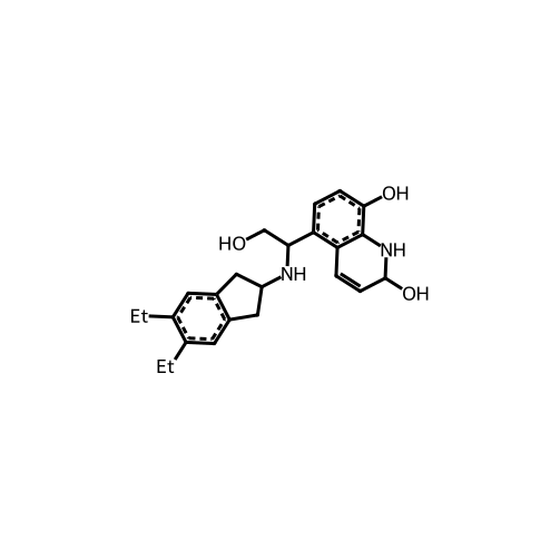 CCc1cc2c(cc1CC)CC(NC(CO)c1ccc(O)c3c1C=CC(O)N3)C2